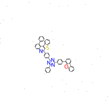 c1ccc(-c2nc(-c3ccc(-c4cccc5c4oc4ccccc45)cc3)nc(-c3ccc(-c4nc5cccc(-c6ccccc6)c5c5c4sc4ccccc45)cc3)n2)cc1